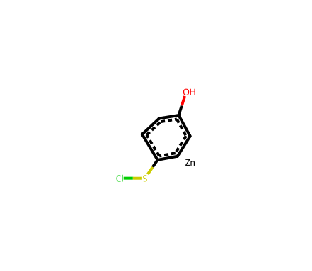 Oc1ccc(SCl)cc1.[Zn]